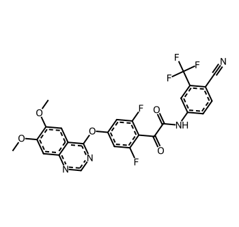 COc1cc2ncnc(Oc3cc(F)c(C(=O)C(=O)Nc4ccc(C#N)c(C(F)(F)F)c4)c(F)c3)c2cc1OC